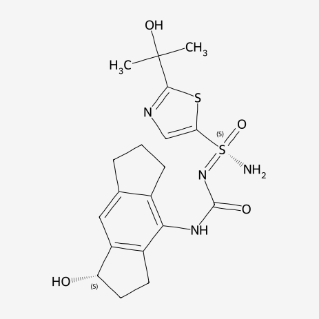 CC(C)(O)c1ncc([S@@](N)(=O)=NC(=O)Nc2c3c(cc4c2CC[C@@H]4O)CCC3)s1